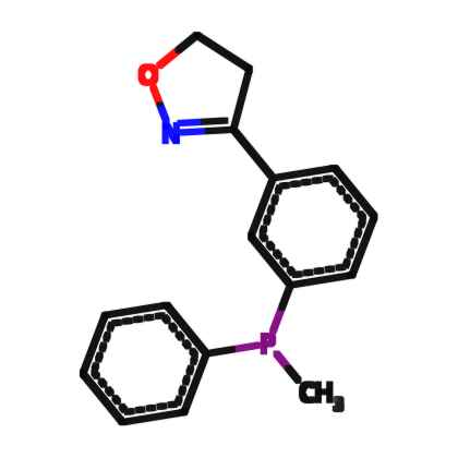 CP(c1ccccc1)c1cccc(C2=NOCC2)c1